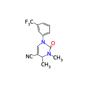 CC1C(C#N)=CN(c2cccc(C(F)(F)F)c2)C(=O)N1C